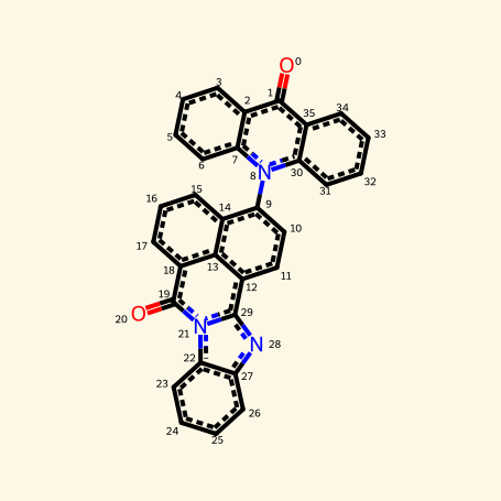 O=c1c2ccccc2n(-c2ccc3c4c2cccc4c(=O)n2c4ccccc4nc32)c2ccccc12